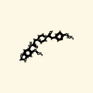 COc1ccc(CC(=O)N2CCN(CC(=O)Nc3cc4c(cc3OC)OCO4)CC2)cc1